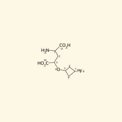 NC(CC(OC1CC([18F])C1)C(=O)O)C(=O)O